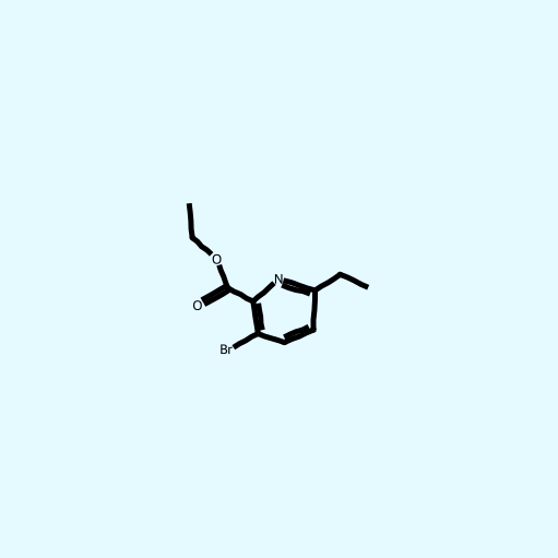 CCOC(=O)c1nc(CC)ccc1Br